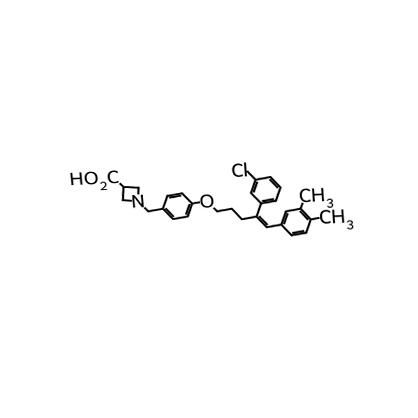 Cc1ccc(C=C(CCCOc2ccc(CN3CC(C(=O)O)C3)cc2)c2cccc(Cl)c2)cc1C